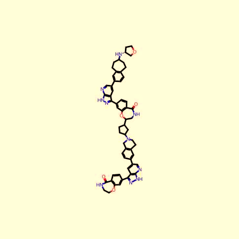 O=C1NCCOc2cc(-c3n[nH]c4ncc(-c5ccc6c(c5)CCN(C5CCC(C7CNC(=O)c8ccc(-c9n[nH]c%10ncc(-c%11ccc%12c(c%11)CCC(N[C@@H]%11CCOC%11)CC%12)cc9%10)cc8O7)C5)C6)cc34)ccc21